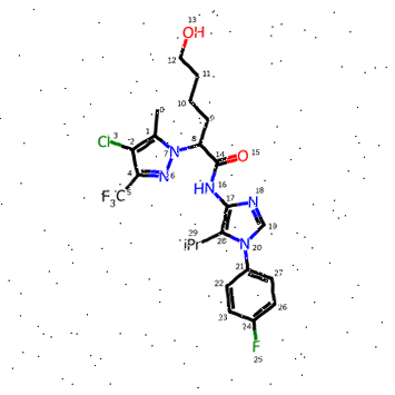 Cc1c(Cl)c(C(F)(F)F)nn1C(CCCCO)C(=O)Nc1ncn(-c2ccc(F)cc2)c1C(C)C